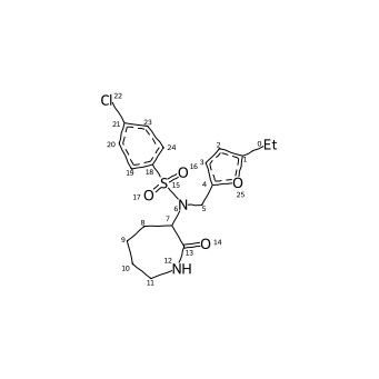 CCc1ccc(CN(C2CCCCNC2=O)S(=O)(=O)c2ccc(Cl)cc2)o1